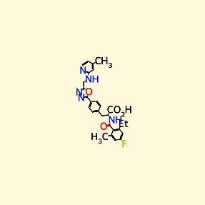 CCc1cc(F)cc(C)c1C(=O)NC(Cc1ccc(-c2nnc(CNc3cc(C)ccn3)o2)cc1)C(=O)O